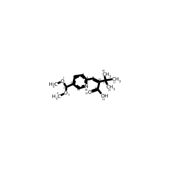 COC(OC)c1ccc(C=C(C(=O)O)C(C)(C)C)nc1